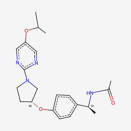 CC(=O)N[C@@H](C)c1ccc(O[C@@H]2CCN(c3ncc(OC(C)C)cn3)C2)cc1